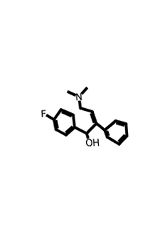 CN(C)CC=C(c1ccccc1)C(O)c1ccc(F)cc1